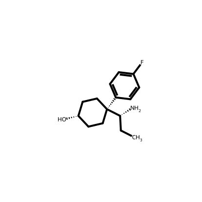 CC[C@@H](N)[C@]1(c2ccc(F)cc2)CC[C@@H](O)CC1